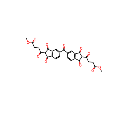 COC(=O)CCC(=O)C1C(=O)c2ccc(C(=O)c3ccc4c(c3)C(=O)C(C(=O)CCC(=O)OC)C4=O)cc2C1=O